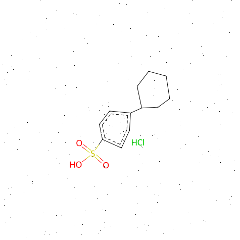 Cl.O=S(=O)(O)c1ccc(C2CCCCC2)cc1